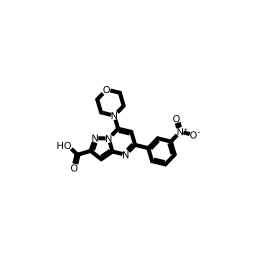 O=C(O)c1cc2nc(-c3cccc([N+](=O)[O-])c3)cc(N3CCOCC3)n2n1